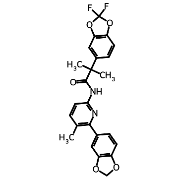 Cc1ccc(NC(=O)C(C)(C)c2ccc3c(c2)OC(F)(F)O3)nc1-c1ccc2c(c1)OCO2